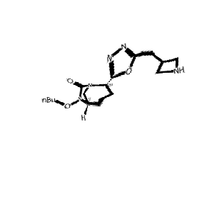 CCCCON1C(=O)N2C[C@@H]1CC[C@H]2c1nnc(CC2CNC2)o1